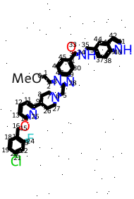 COCCn1c(CN2CCC(c3cccc(OCc4ccc(Cl)cc4F)n3)CC2)nc2cc(C(=O)NCc3ccc4[nH]ccc4c3)ccc21